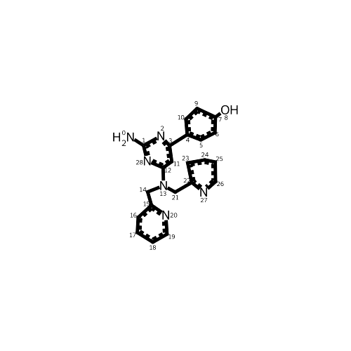 Nc1nc(-c2ccc(O)cc2)cc(N(Cc2ccccn2)Cc2ccccn2)n1